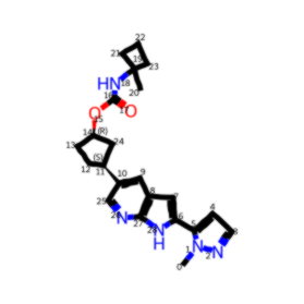 Cn1nccc1-c1cc2cc([C@H]3CC[C@@H](OC(=O)NC4(C)CCC4)C3)cnc2[nH]1